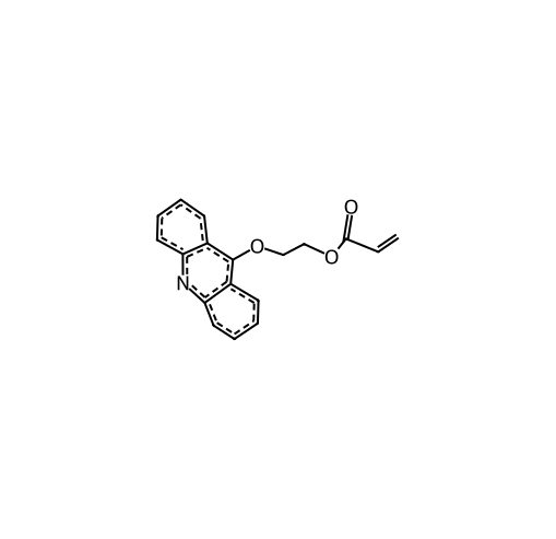 C=CC(=O)OCCOc1c2ccccc2nc2ccccc12